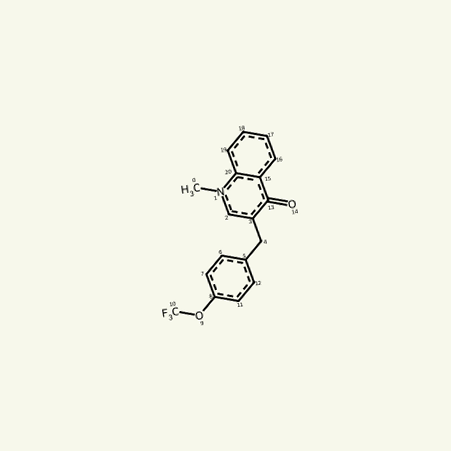 Cn1cc(Cc2ccc(OC(F)(F)F)cc2)c(=O)c2ccccc21